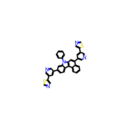 c1ccc(-n2c3cc(-c4cncc(-c5cncs5)c4)ccc3c3c4ccccc4c(-c4cncc(-c5cncs5)c4)cc32)cc1